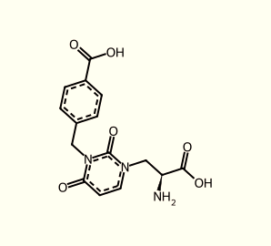 N[C@@H](Cn1ccc(=O)n(Cc2ccc(C(=O)O)cc2)c1=O)C(=O)O